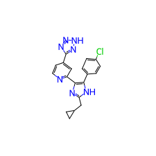 Clc1ccc(-c2[nH]c(CC3CC3)nc2-c2cc(-c3nn[nH]n3)ccn2)cc1